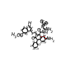 COc1ccc2[nH]cc(CCN(C(=O)C(c3ccccc3)c3ccccc3)[C@@H](CCCN)C(=O)NC(N)=N[N+](=O)[O-])c2c1